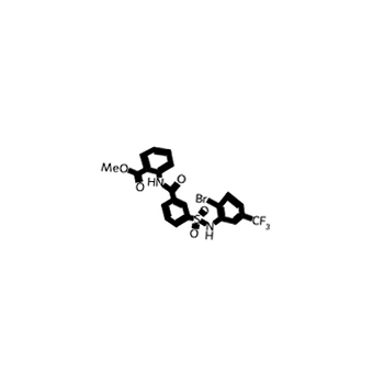 COC(=O)c1ccccc1NC(=O)c1cccc(S(=O)(=O)Nc2cc(C(F)(F)F)ccc2Br)c1